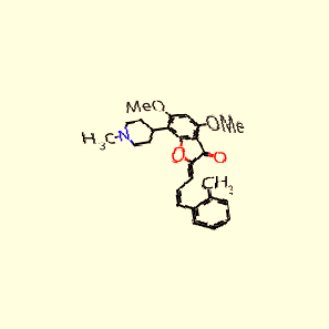 COc1cc(OC)c(C2CCN(C)CC2)c2c1C(=O)/C(=C/C=C\c1ccccc1C)O2